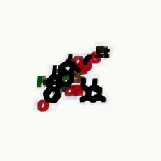 CCOCC(=O)O[C@]1(C(=O)SCC(=O)c2c(C)cc(C)cc2C)[C@H](C)C[C@H]2[C@@H]3C[C@H](F)C4=CC(=O)C=C[C@]4(C)[C@@]3(F)[C@@H](O)C[C@@]21C